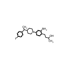 CC(O)CCc1ccc(N2CCC(C(C)c3ccc(F)cc3)CC2)cc1N